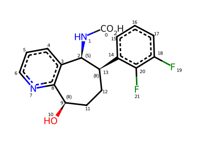 O=C(O)N[C@@H]1c2cccnc2[C@H](O)CC[C@@H]1c1cccc(F)c1F